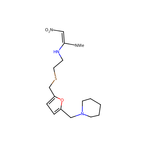 CN/C(=C/[N+](=O)[O-])NCCSCc1ccc(CN2CCCCC2)o1